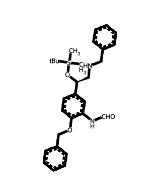 CC(C)(C)[Si](C)(C)O[C@@H](CNCc1ccccc1)c1ccc(OCc2ccccc2)c(NC=O)c1